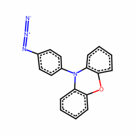 [N-]=[N+]=Nc1ccc(N2c3ccccc3Oc3ccccc32)cc1